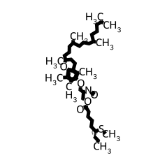 CCC[C@@H](CCCCC(=O)OCC(COc1c(C)c(C)c2c(c1C)CCC(C)(CCCC(C)CCCC(C)CCCC(C)C)O2)N=O)SC